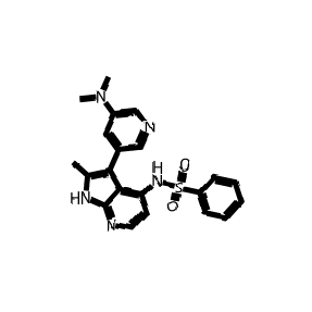 Cc1[nH]c2nccc(NS(=O)(=O)c3ccccc3)c2c1-c1cncc(N(C)C)c1